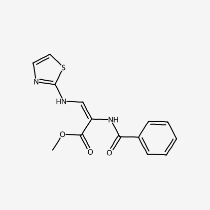 COC(=O)C(=CNc1nccs1)NC(=O)c1ccccc1